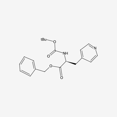 CC(C)(C)OC(=O)N[C@@H](Cc1ccncc1)C(=O)OCc1ccccc1